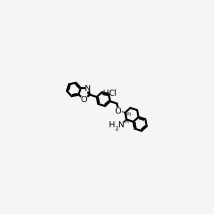 Cl.N[C@@H]1c2ccccc2CC[C@H]1OCc1ccc(-c2nc3ccccc3o2)cc1